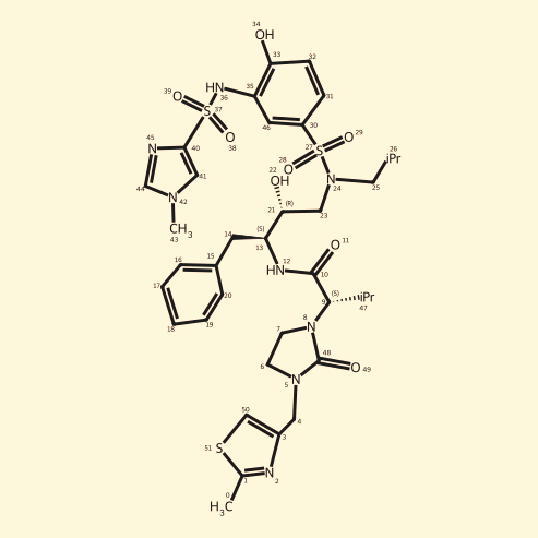 Cc1nc(CN2CCN([C@H](C(=O)N[C@@H](Cc3ccccc3)[C@H](O)CN(CC(C)C)S(=O)(=O)c3ccc(O)c(NS(=O)(=O)c4cn(C)cn4)c3)C(C)C)C2=O)cs1